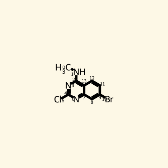 CNc1nc(Cl)nc2cc(Br)ccc12